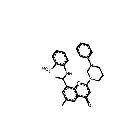 Cc1cc(C(C)Nc2ccccc2C(=O)O)c2oc(N3CCCN(c4ccccc4)C3)cc(=O)c2c1